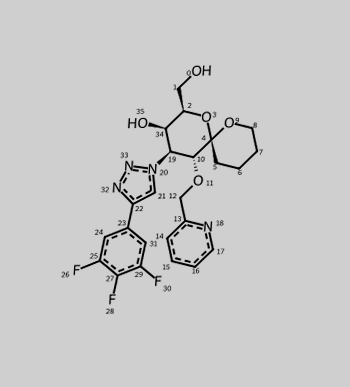 OC[C@H]1O[C@@]2(CCCCO2)[C@H](OCc2ccccn2)[C@@H](n2cc(-c3cc(F)c(F)c(F)c3)nn2)[C@H]1O